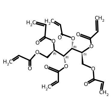 C=CC(=O)OC[C@H](OC(=O)C=C)[C@@H](OC(=O)C=C)[C@H](OC(=O)C=C)[C@@H](COC(=O)C=C)OC(=O)C=C